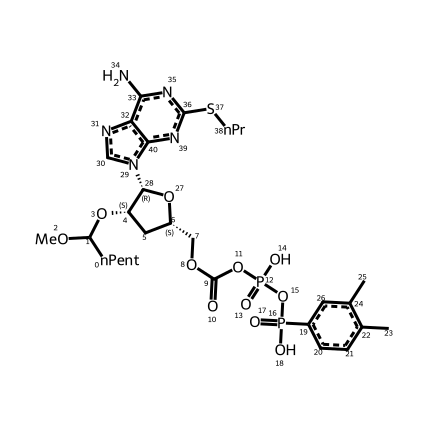 CCCCCC(OC)O[C@H]1C[C@@H](COC(=O)OP(=O)(O)OP(=O)(O)c2ccc(C)c(C)c2)O[C@H]1n1cnc2c(N)nc(SCCC)nc21